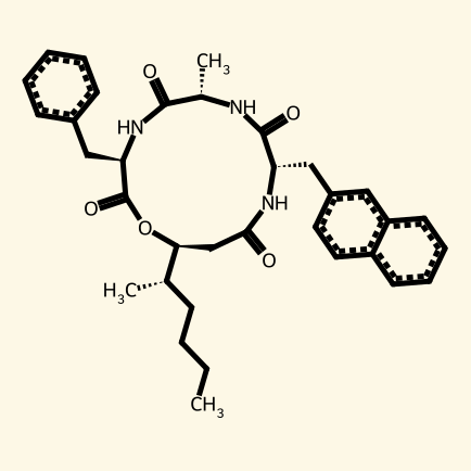 CCCC[C@H](C)[C@@H]1CC(=O)N[C@@H](Cc2ccc3ccccc3c2)C(=O)N[C@@H](C)C(=O)N[C@H](Cc2ccccc2)C(=O)O1